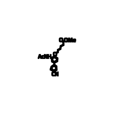 COC(=O)CCCCCOc1ccc(-c2ccc(C#N)cc2)cc1NC(C)=O